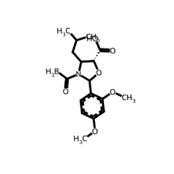 BC(=O)N1C(c2ccc(OC)cc2OC)O[C@@H](C(=O)O)C1CC(C)C